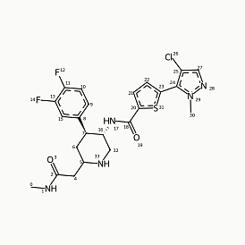 CNC(=O)CC1C[C@@H](c2ccc(F)c(F)c2)[C@H](NC(=O)c2ccc(-c3c(Cl)cnn3C)s2)CN1